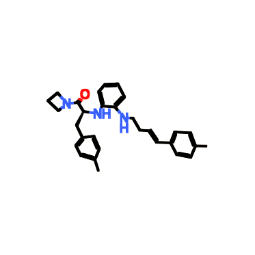 Cc1ccc(/C=C/CCNc2ccccc2N[C@@H](Cc2ccc(C)cc2)C(=O)N2CCC2)cc1